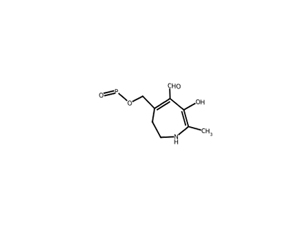 CC1=C(O)C(C=O)=C(COP=O)CCN1